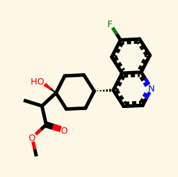 COC(=O)C(C)[C@]1(O)CC[C@H](c2ccnc3ccc(F)cc32)CC1